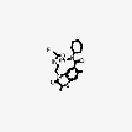 CCC(=O)NCCN1C(=O)C(C)Sc2cc(C)c(C(=O)N(C(C)C)C3CCCCC3)cc21